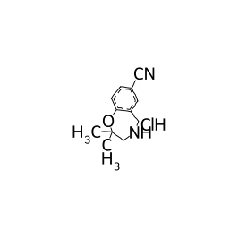 CC1(C)CNCc2cc(C#N)ccc2O1.Cl